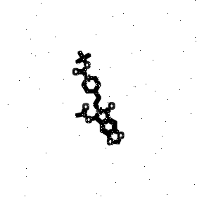 CC(=O)OC1c2cc3c(cc2C(=O)N1CCC1CCN(C(=O)OC(C)(C)C)CC1)OCO3